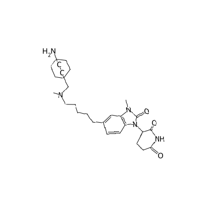 CN(CCCCCc1ccc2c(c1)n(C)c(=O)n2C1CCC(=O)NC1=O)CC12CCC(N)(CC1)CC2